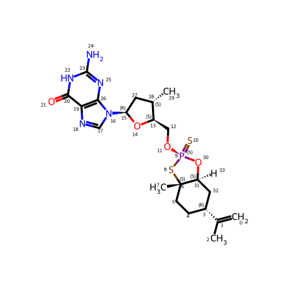 C=C(C)[C@@H]1CC[C@]2(C)S[P@@](=S)(OC[C@H]3O[C@@H](n4cnc5c(=O)[nH]c(N)nc54)C[C@@H]3C)O[C@H]2C1